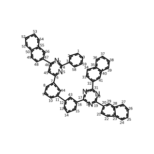 c1ccc(-c2nc(-c3cccc(-c4cccc(-c5nc(-c6ccc7ccccc7c6)nc(-c6ccc7ccccc7c6)n5)c4)c3)cc(-c3ccc4ccccc4c3)n2)cc1